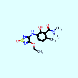 CCOc1n[s+]([O-])nc1Nc1ccc(C)c(C(=O)N(C)C)c1O